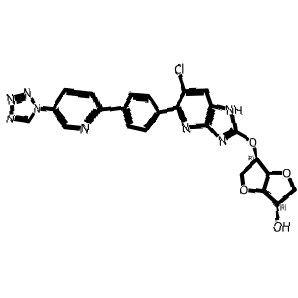 O[C@@H]1COC2C1OC[C@H]2Oc1nc2nc(-c3ccc(-c4ccc(-n5cnnn5)cn4)cc3)c(Cl)cc2[nH]1